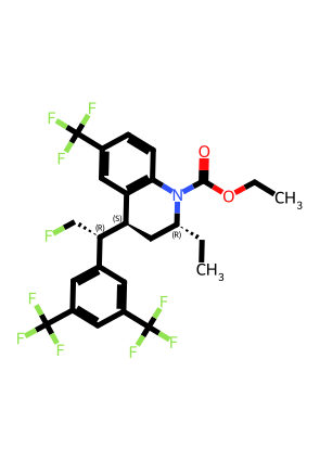 CCOC(=O)N1c2ccc(C(F)(F)F)cc2[C@H]([C@@H](CF)c2cc(C(F)(F)F)cc(C(F)(F)F)c2)C[C@H]1CC